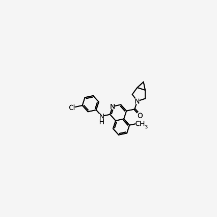 Cc1cccc2c(Nc3cccc(Cl)c3)ncc(C(=O)N3CC4CC4C3)c12